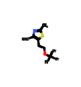 Cc1nc(C=O)c(CCO[Si](C(C)C)(C(C)C)C(C)C)s1